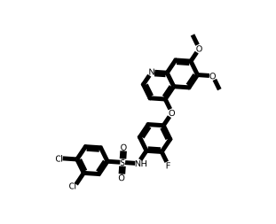 COc1cc2nccc(Oc3ccc(NS(=O)(=O)c4ccc(Cl)c(Cl)c4)c(F)c3)c2cc1OC